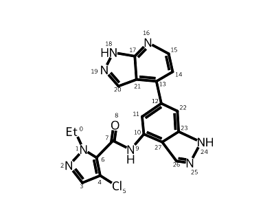 CCn1ncc(Cl)c1C(=O)Nc1cc(-c2ccnc3[nH]ncc23)cc2[nH]ncc12